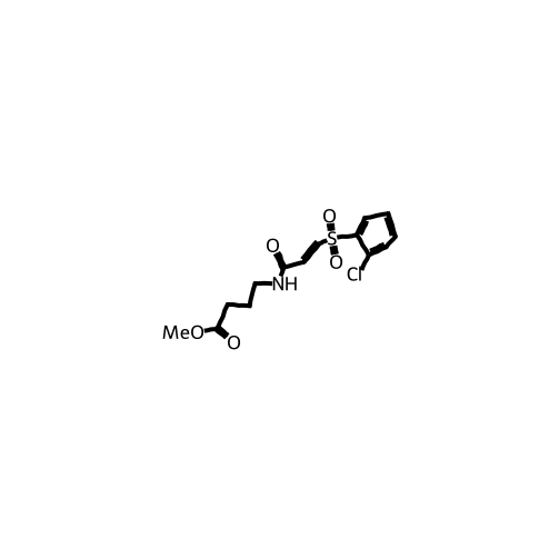 COC(=O)CCCNC(=O)/C=C/S(=O)(=O)c1ccccc1Cl